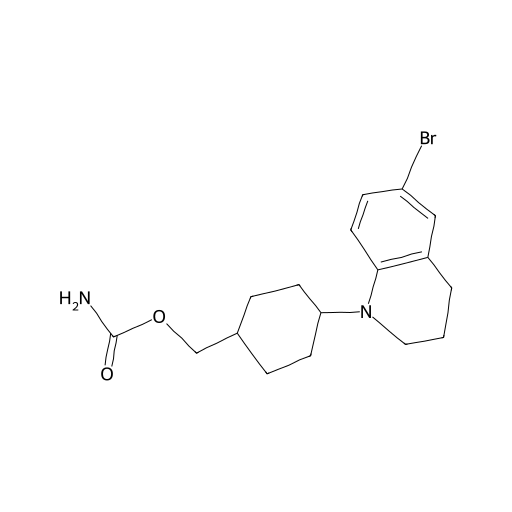 NC(=O)OCC1CCC(N2CCCc3cc(Br)ccc32)CC1